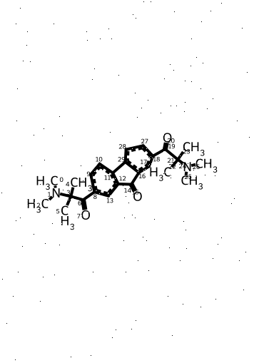 CN(C)C(C)(C)C(=O)c1ccc2c(c1)C(=O)c1cc(C(=O)C(C)(C)N(C)C)ccc1-2